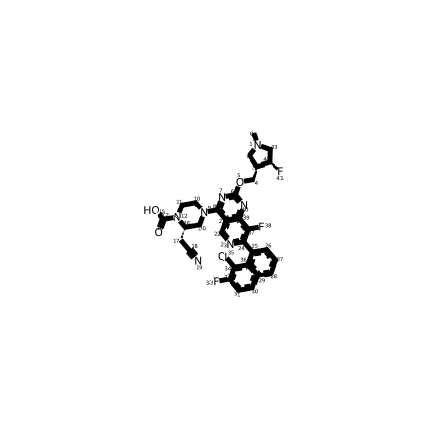 CN1C[C@H](COc2nc(N3CCN(C(=O)O)[C@@H](CC#N)C3)c3cnc(-c4cccc5ccc(F)c(Cl)c45)c(F)c3n2)[C@H](F)C1